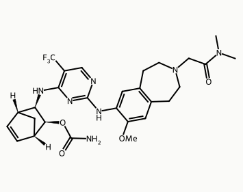 COc1cc2c(cc1Nc1ncc(C(F)(F)F)c(N[C@H]3[C@@H](OC(N)=O)[C@@H]4C=C[C@H]3C4)n1)CCN(CC(=O)N(C)C)CC2